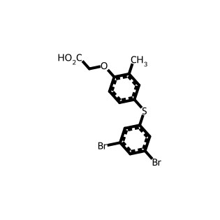 Cc1cc(Sc2cc(Br)cc(Br)c2)ccc1OCC(=O)O